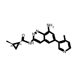 Cc1ccncc1-c1cc(N)c2nnc(NC(=O)[C@@H]3C[C@H]3C)cc2c1